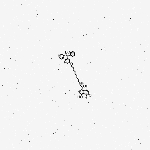 O=C(O)N(C1CN2CCC1CC2)[C@H](c1ccccc1)c1cncc(OCCCCCCCCCNC[C@H](O)c2ccc(O)c3[nH]c(=O)ccc23)c1